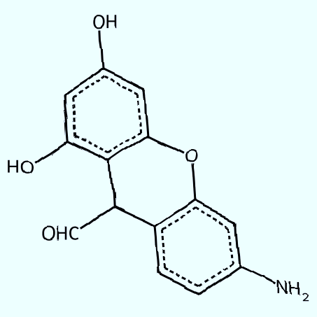 Nc1ccc2c(c1)Oc1cc(O)cc(O)c1C2C=O